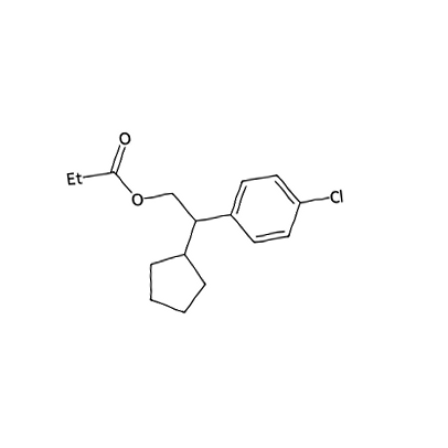 CCC(=O)OCC(c1ccc(Cl)cc1)C1CCCC1